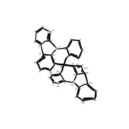 c1ccc2c(c1)-n1c3ncccc3c3cccc(c31)C21c2cccnc2-n2c3ccccc3c3cccc1c32